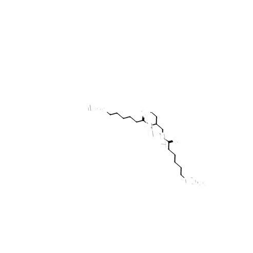 CCCCCCCCCCCCCCCC(=S)NCC(CI)NC(=S)CCCCCCCCCCCCCCC